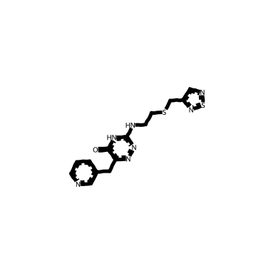 O=c1[nH]c(NCCSCc2cnsn2)nnc1Cc1cccnc1